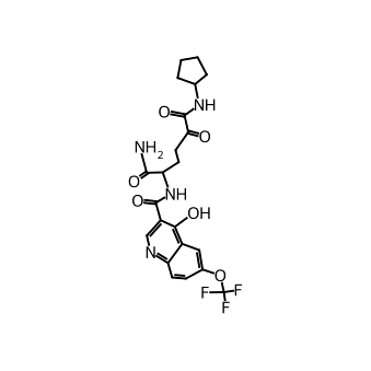 NC(=O)C(CCC(=O)C(=O)NC1CCCC1)NC(=O)c1cnc2ccc(OC(F)(F)F)cc2c1O